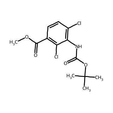 COC(=O)c1ccc(Cl)c(NC(=O)OC(C)(C)C)c1Cl